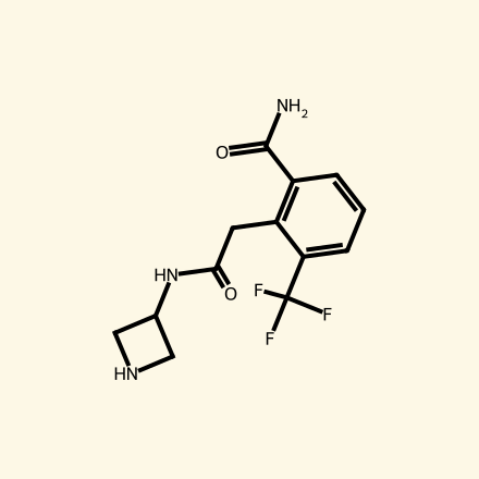 NC(=O)c1cccc(C(F)(F)F)c1CC(=O)NC1CNC1